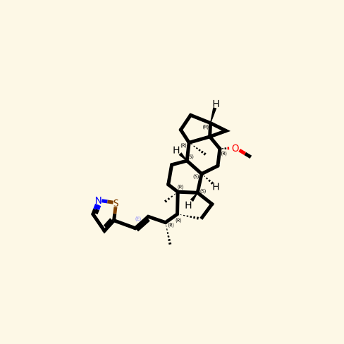 CO[C@@H]1C[C@H]2[C@@H]3CC[C@H]([C@H](C)/C=C/c4ccns4)[C@@]3(C)CC[C@@H]2[C@@]2(C)CC[C@@H]3CC312